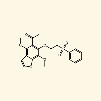 COc1c(C(C)=O)c(OCCS(=O)(=O)c2ccccc2)c(OC)c2occc12